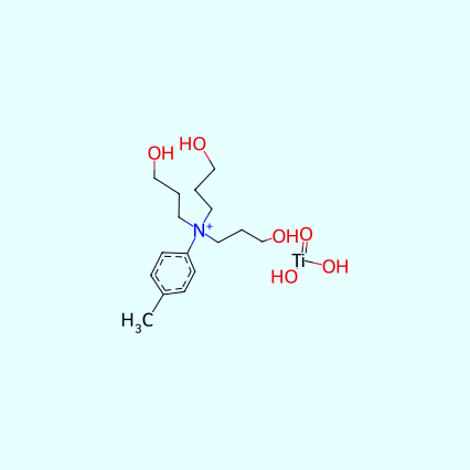 Cc1ccc([N+](CCCO)(CCCO)CCCO)cc1.[O]=[Ti]([OH])[OH]